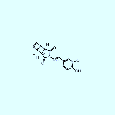 O=C1[C@@H]2[C@H](C(=O)N1/N=C/c1ccc(O)c(O)c1)C1C=C[C@@H]12